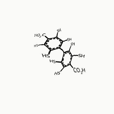 O=C(O)c1c(S)c(S)c(-c2c(S)c(S)c(C(=O)O)c(S)c2S)c(S)c1S